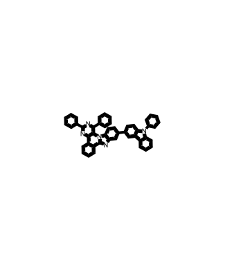 c1ccc(-c2nc(-c3ccccc3)c3c(n2)c2ccccc2c2nc4cc(-c5ccc6c(c5)c5ccccc5n6-c5ccccc5)ccc4n23)cc1